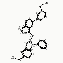 COCc1cccc(-c2ccc3[nH]nc(Nc4nc5cc(CO)ccc5n4-c4ccccc4)c3c2)c1